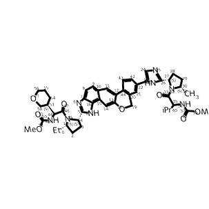 CC[C@H]1CC[C@@H](c2nc3ccc4cc5c(cc4c3[nH]2)OCc2cc(-c3cnc([C@@H]4CC[C@H](C)N4C(=O)C(NC(=O)OC)C(C)C)[nH]3)ccc2-5)N1C(=O)C(NC(=O)OC)[C@@H]1CCCOC1